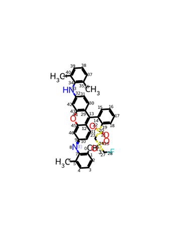 Cc1cccc(C)c1/N=c1\ccc2c(-c3ccccc3S(=O)(=O)CS(=O)(=O)CF)c3ccc(Nc4c(C)cccc4C)cc3oc-2c1